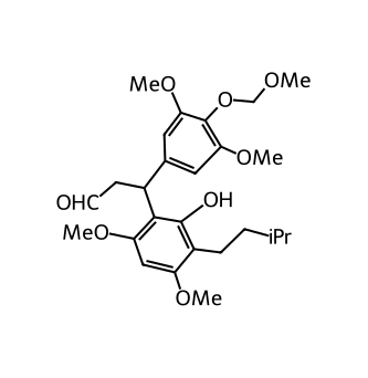 COCOc1c(OC)cc(C(CC=O)c2c(OC)cc(OC)c(CCC(C)C)c2O)cc1OC